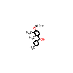 CCCCCCOc1ccc(C(O)c2ccc(C)cc2)c(C)c1C